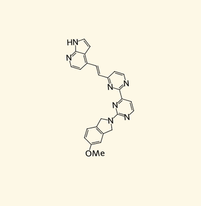 COc1ccc2c(c1)CN(c1nccc(-c3nccc(/C=C/c4ccnc5[nH]ccc45)n3)n1)C2